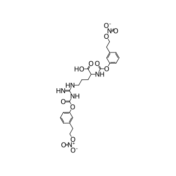 N=C(NCCCC(NC(=O)Oc1cccc(CCO[N+](=O)[O-])c1)C(=O)O)NC(=O)Oc1cccc(CCO[N+](=O)[O-])c1